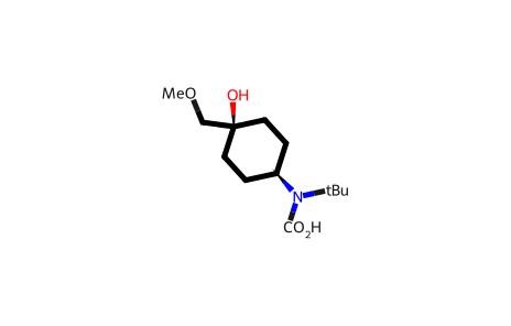 COC[C@]1(O)CC[C@@H](N(C(=O)O)C(C)(C)C)CC1